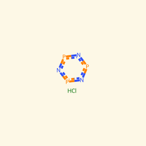 Cl.n1pnpnp1